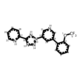 FC(F)(F)Oc1ccccc1-c1cncc(-n2nnc(-c3ccccn3)n2)c1